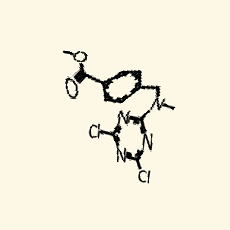 COC(=O)c1ccc(CN(C)c2nc(Cl)nc(Cl)n2)cc1